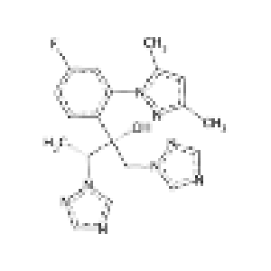 Cc1cc(C)n(-c2cc(F)ccc2[C@@](O)(Cn2cncn2)[C@@H](C)n2cncn2)n1